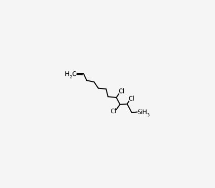 C=CCCCCCC(Cl)C(Cl)C(Cl)C[SiH3]